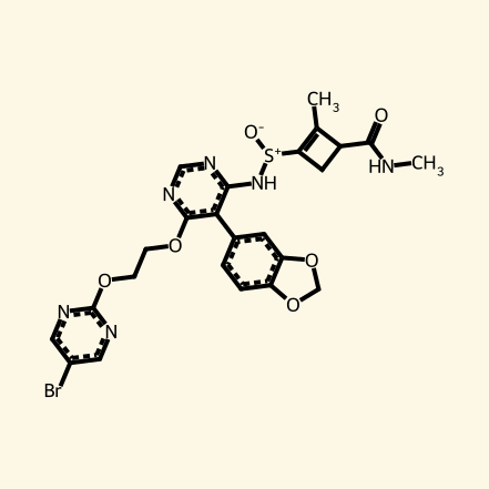 CNC(=O)C1CC([S+]([O-])Nc2ncnc(OCCOc3ncc(Br)cn3)c2-c2ccc3c(c2)OCO3)=C1C